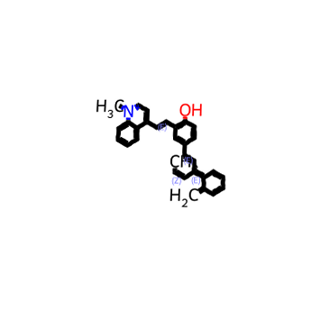 C=c1cccc/c1=C(/C=C\C)\C=C\c1ccc(O)c(/C=C/c2cc[n+](C)c3ccccc23)c1